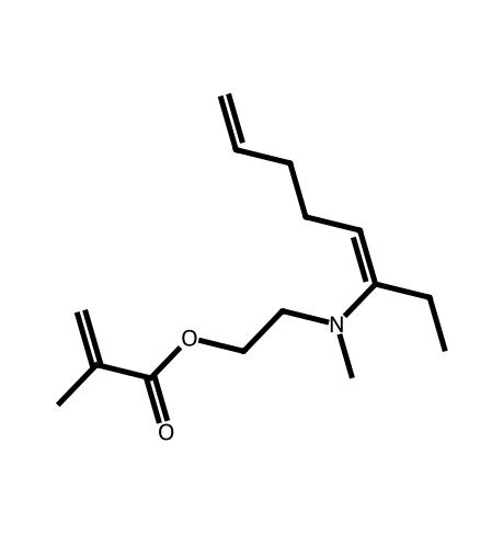 C=CCC/C=C(/CC)N(C)CCOC(=O)C(=C)C